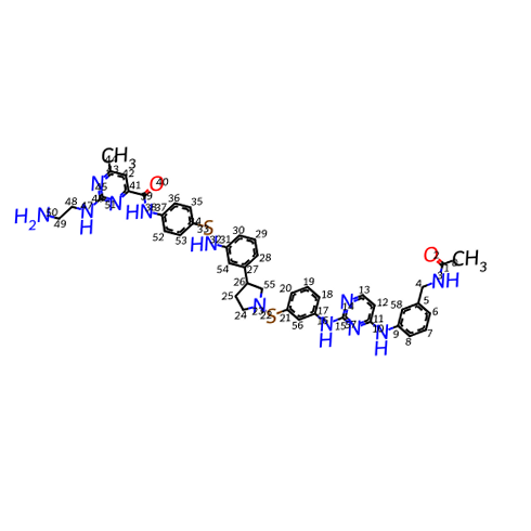 CC(=O)NCc1cccc(Nc2ccnc(Nc3cccc(SN4CCC(c5cccc(NSc6ccc(NC(=O)c7cc(C)nc(NCCN)n7)cc6)c5)C4)c3)n2)c1